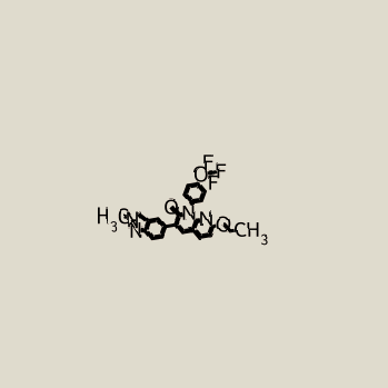 CCOc1ccc2cc(-c3ccc4nn(C)cc4c3)c(=O)n(-c3ccc(OC(F)(F)F)cc3)c2n1